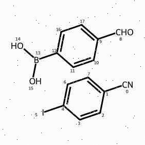 N#Cc1ccc(I)cc1.O=Cc1ccc(B(O)O)cc1